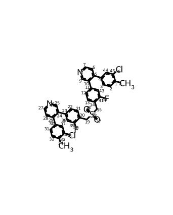 Cc1ccc(-c2ccncc2-c2ccc(CS(=O)(=O)Cc3ccc(-c4cnccc4-c4ccc(C)c(Cl)c4)cc3F)c(F)c2)cc1Cl